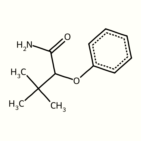 CC(C)(C)C(Oc1ccccc1)C(N)=O